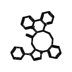 C=C1CC2N(c3ccccc3)C=CN2c2ccccc2CCC2C1[n+]1ccccc1-c1cccc[n+]12